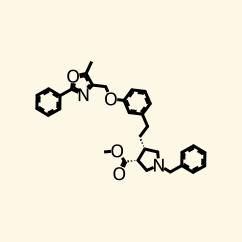 COC(=O)[C@H]1CN(Cc2ccccc2)C[C@H]1CCc1cccc(OCc2nc(-c3ccccc3)oc2C)c1